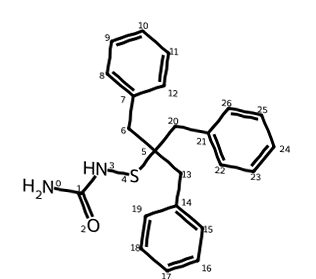 NC(=O)NSC(Cc1ccccc1)(Cc1ccccc1)Cc1ccccc1